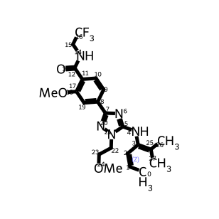 C/C=C\C(Nc1nc(-c2ccc(C(=O)NCC(F)(F)F)c(OC)c2)nn1CCOC)=C(C)C